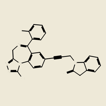 Cc1nnc2n1-c1ccc(C#CCN3C(=O)Cc4ccccc43)cc1C(c1ccccc1F)=NC2